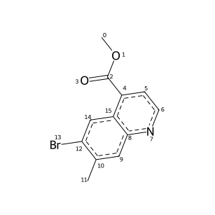 COC(=O)c1ccnc2cc(C)c(Br)cc12